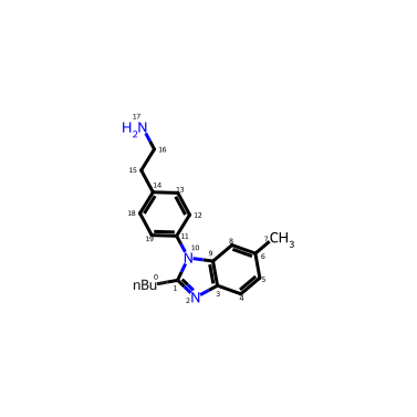 CCCCc1nc2ccc(C)cc2n1-c1ccc(CCN)cc1